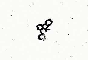 CC1(C)c2ccccc2-c2cccc(-c3ccnnn3)c21